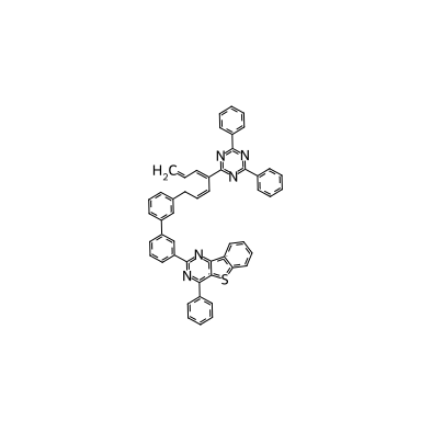 C=C/C=C(\C=C/Cc1cccc(-c2cccc(-c3nc(-c4ccccc4)c4sc5ccccc5c4n3)c2)c1)c1nc(-c2ccccc2)nc(-c2ccccc2)n1